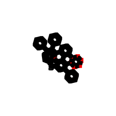 c1ccc(-c2cccc(-c3nnnc(-c4ccccc4)c3-c3ccccc3)c2-c2c(-c3ccccc3)c(-c3ccccc3)cc3sc4ccccc4c23)cc1